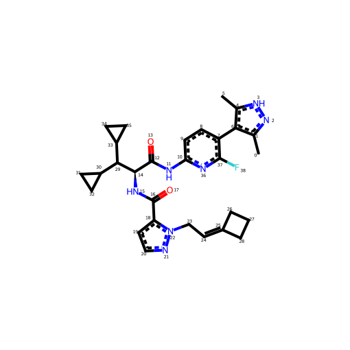 Cc1n[nH]c(C)c1-c1ccc(NC(=O)[C@@H](NC(=O)c2ccnn2CC=C2CCC2)C(C2CC2)C2CC2)nc1F